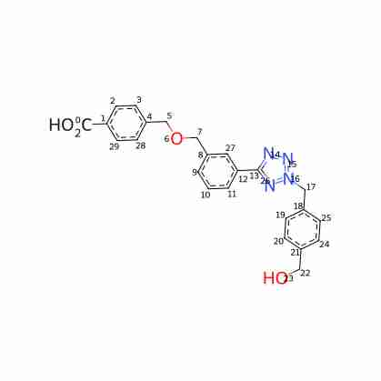 O=C(O)c1ccc(COCc2cccc(-c3nnn(Cc4ccc(CO)cc4)n3)c2)cc1